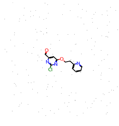 O=Cc1cc(OCCc2ccccn2)nc(Cl)n1